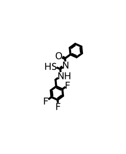 O=C(N=C(S)NCc1cc(F)c(F)cc1F)c1ccccc1